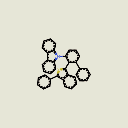 c1ccc(-c2cccc(-n3c4ccccc4c4ccccc43)c2-c2sc(-c3ccccc3)c3ccccc23)cc1